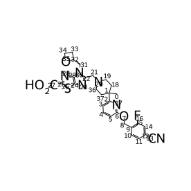 CC1(c2cccc(OCc3ccc(C#N)cc3F)n2)CCN(Cc2nc3sc(C(=O)O)nc3n2C[C@@H]2CCO2)CC1